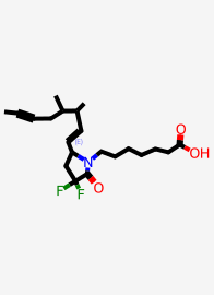 CC#CCC(C)C(C)/C=C/C1CC(F)(F)C(=O)N1CCCCCCC(=O)O